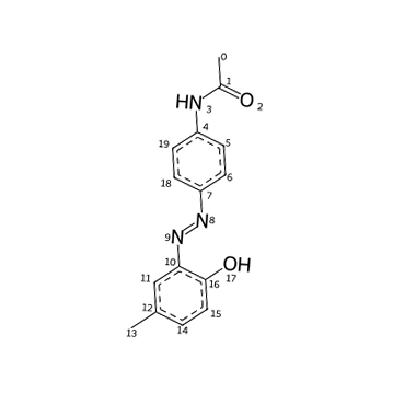 CC(=O)Nc1ccc(N=Nc2cc(C)ccc2O)cc1